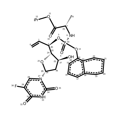 C=C[C@@H](O[P@@](=O)(N[C@@H](C)C(=O)OC(C)C)Oc1cccc2ccccc12)[C@H]1O[C@@H](n2cc(F)c(=O)[nH]c2=O)C[C@@H]1O